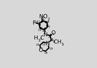 C[C@@H](C(=O)N(C)c1ccc([N+](=O)[O-])c(F)c1)N1CCOCC1